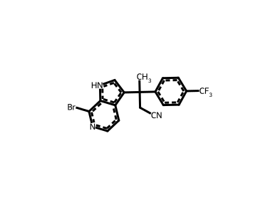 CC(CC#N)(c1ccc(C(F)(F)F)cc1)c1c[nH]c2c(Br)nccc12